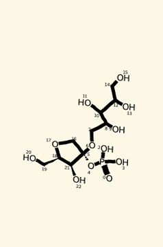 O=P(O)(O)O[C@@]1(OCC(O)C(O)C(O)CO)CO[C@H](CO)[C@@H]1O